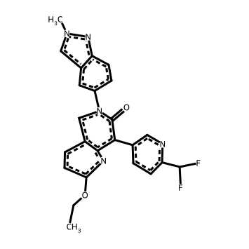 CCOc1ccc2cn(-c3ccc4nn(C)cc4c3)c(=O)c(-c3ccc(C(F)F)nc3)c2n1